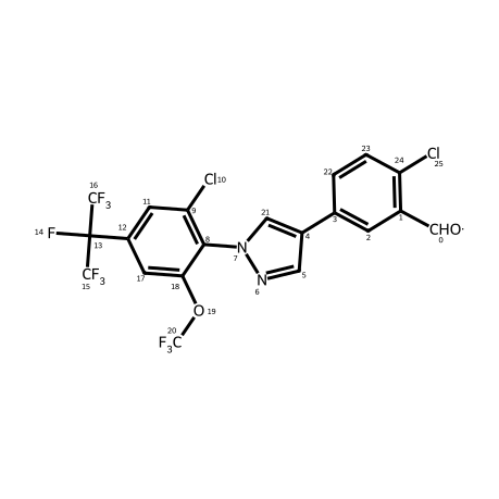 O=[C]c1cc(-c2cnn(-c3c(Cl)cc(C(F)(C(F)(F)F)C(F)(F)F)cc3OC(F)(F)F)c2)ccc1Cl